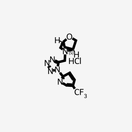 Cl.FC(F)(F)c1ccc(-n2nnnc2CN2C[C@@H]3C[C@H]2CO3)nc1